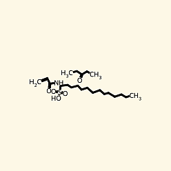 C=CC(=O)NC(CCCCCCCCCCCCC)S(=O)(=O)O.CCC(=O)CC